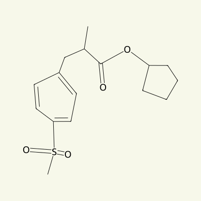 CC(Cc1ccc(S(C)(=O)=O)cc1)C(=O)OC1CCCC1